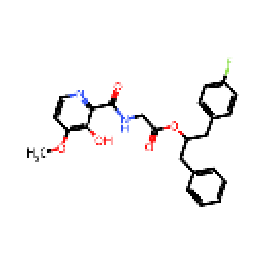 COc1ccnc(C(=O)NCC(=O)OC(Cc2ccccc2)Cc2ccc(F)cc2)c1O